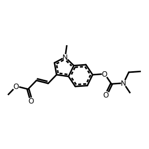 CCN(C)C(=O)Oc1ccc2c(/C=C/C(=O)OC)cn(C)c2c1